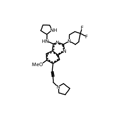 COc1cc2c(NC3CCCN3)nc(N3CCC(F)(F)CC3)nc2cc1C#CCN1CCCC1